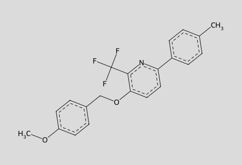 COc1ccc(COc2ccc(-c3ccc(C)cc3)nc2C(F)(F)F)cc1